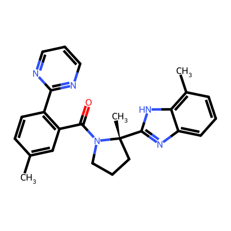 Cc1ccc(-c2ncccn2)c(C(=O)N2CCC[C@@]2(C)c2nc3cccc(C)c3[nH]2)c1